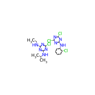 CCNc1nc(Cl)nc(NC(C)C)n1.Clc1nc(Cl)nc(Nc2ccccc2Cl)n1